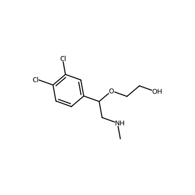 CNCC(OCCO)c1ccc(Cl)c(Cl)c1